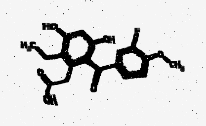 CCc1c(O)cc(O)c(C(=O)c2ccc(OC)c(F)c2)c1CC(=O)O